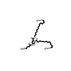 CCCCC/C=C\C/C=C\CCCCCCCCOC(=O)C1CC(NC(=O)CCCNC)CN1C(=O)CCCCCCC/C=C\C/C=C\CCCCC